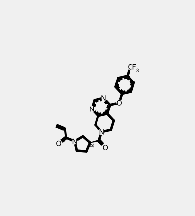 C=CC(=O)N1CC[C@H](C(=O)N2CCc3c(ncnc3Oc3ccc(C(F)(F)F)cc3)C2)C1